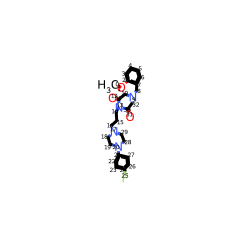 COc1ccccc1CN1CC(=O)N(CCCN2CCN(c3ccc(F)cc3)CC2)C(=O)C1